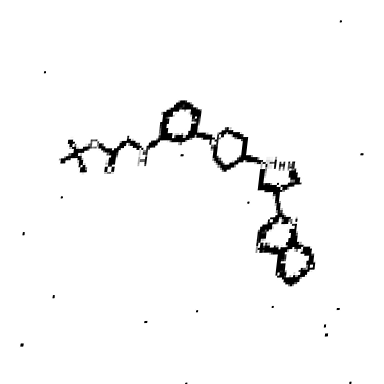 CC(C)(C)OC(=O)CNc1cccc(N2CCC(N/C=C(\C=N)c3cnc4ccccc4n3)CC2)c1